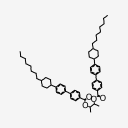 CCCCCCCCC1CCC(c2ccc(-c3ccc(C(=O)OC(C)C(C)OC(=O)c4ccc(-c5ccc(C6CCC(CCCCCCCC)CC6)cc5)cc4)cc3)cc2)CC1